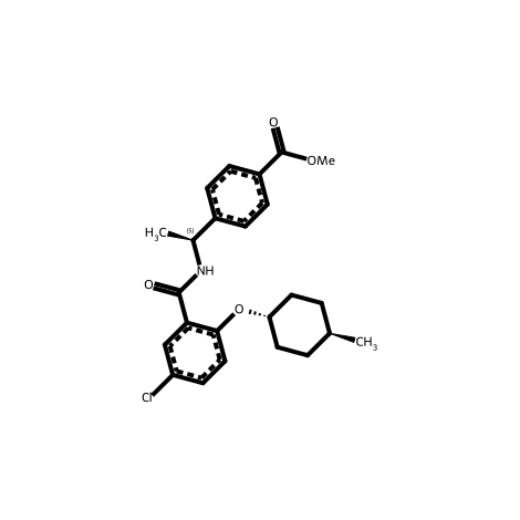 COC(=O)c1ccc([C@H](C)NC(=O)c2cc(Cl)ccc2O[C@H]2CC[C@H](C)CC2)cc1